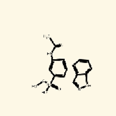 CC(=O)Nc1cccc([As](=O)(O)OO)c1.c1ccc2[nH]ncc2c1